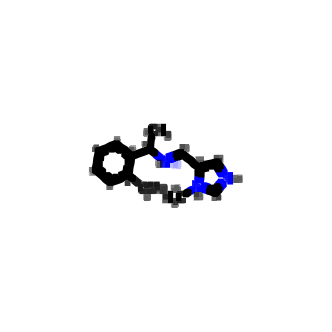 COc1ccccc1C(C)/N=C/c1cncn1C